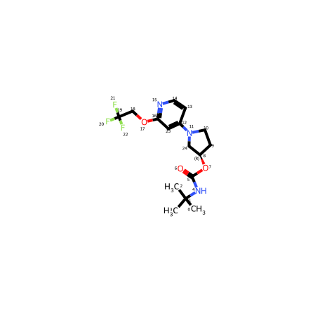 CC(C)(C)NC(=O)O[C@@H]1CCN(c2ccnc(OCC(F)(F)F)c2)C1